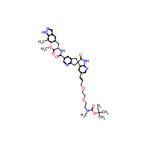 COC(=O)[C@@H](Cc1cc(C)c2[nH]ncc2c1)NC(=O)c1cnc2c(c1)C[C@@]1(C2)C(=O)Nc2ncc(/C=C/COCCOCCN(C)C(=O)OC(C)(C)C)cc21